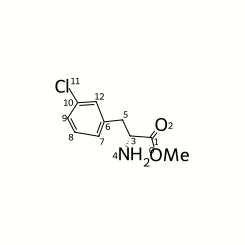 COC(=O)[C@H](N)Cc1cccc(Cl)c1